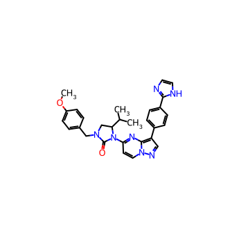 COc1ccc(CN2CC(C(C)C)N(c3ccn4ncc(-c5ccc(-c6ncc[nH]6)cc5)c4n3)C2=O)cc1